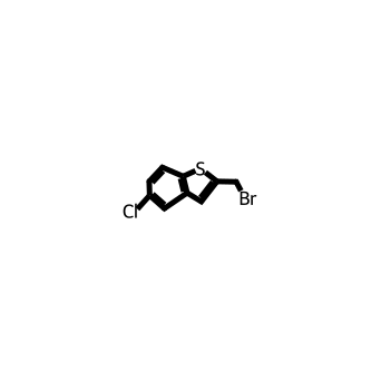 Clc1ccc2sc(CBr)cc2c1